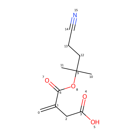 C=C(CC(=O)O)C(=O)OC(C)(C)CCC#N